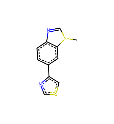 C[SH]1C=Nc2ccc(-c3cscn3)cc21